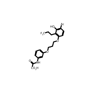 CC(=O)c1ccc(OCCCOc2cccc(NC(=O)C(=O)O)c2)c(CCC(F)(F)F)c1O